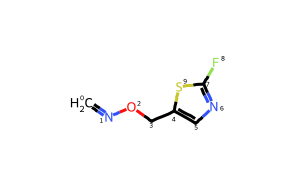 C=NOCc1cnc(F)s1